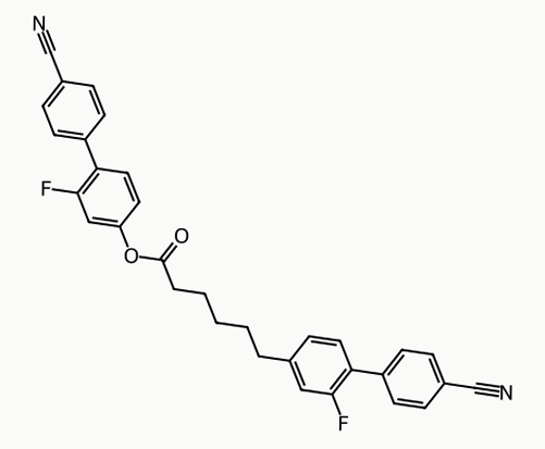 N#Cc1ccc(-c2ccc(CCCCCC(=O)Oc3ccc(-c4ccc(C#N)cc4)c(F)c3)cc2F)cc1